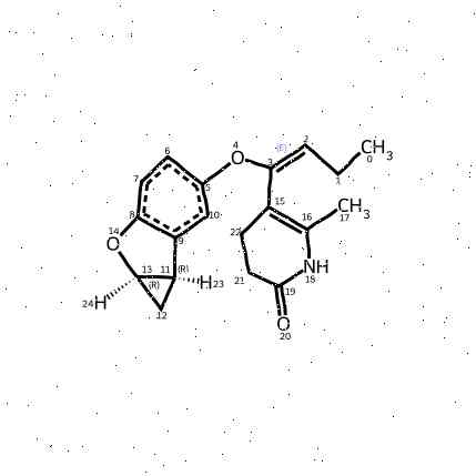 CC/C=C(/Oc1ccc2c(c1)[C@H]1C[C@H]1O2)C1=C(C)NC(=O)CC1